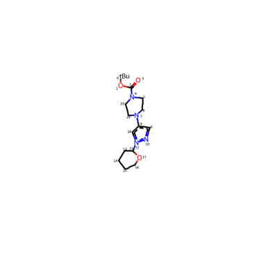 CC(C)(C)OC(=O)N1CCN(c2cnn(C3CCCCO3)c2)CC1